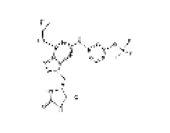 O=C1NC(=O)/C(=C/c2cnn3c(NC4CC4)nc(Nc4cccc(OC(F)(F)F)c4)nc23)N1